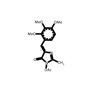 COc1ccc(/C=C2\N=C(C)N(OC(C)=O)C2=O)c(OC)c1OC